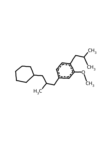 COc1cc(CC(C)CC2CCCCC2)ccc1CC(C)C